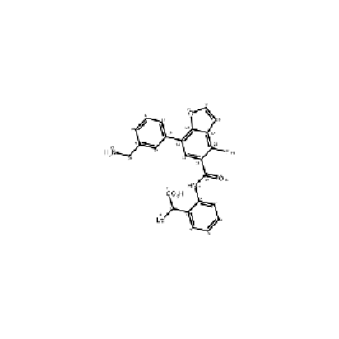 CCC(C(=O)O)c1ccccc1NC(=O)c1cc(-c2cccc(CN)c2)c2occc2c1F